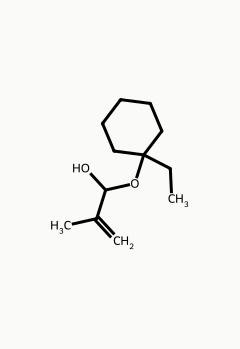 C=C(C)C(O)OC1(CC)CCCCC1